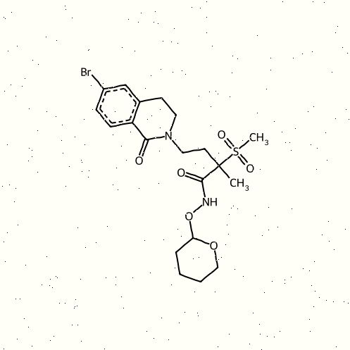 CC(CCN1CCc2cc(Br)ccc2C1=O)(C(=O)NOC1CCCCO1)S(C)(=O)=O